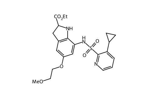 CCOC(=O)C1Cc2cc(OCCOC)cc(NS(=O)(=O)c3ncccc3C3CC3)c2N1